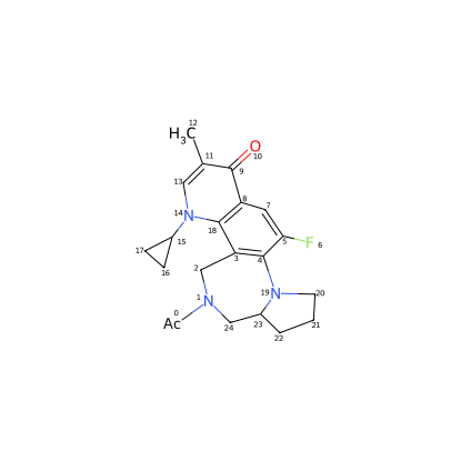 CC(=O)N1Cc2c(c(F)cc3c(=O)c(C)cn(C4CC4)c23)N2CCCC2C1